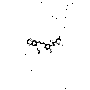 CCCOc1cc2c(cc1CCCc1ccc(OC)c(NC(=O)[C@@H](N)CC(C)C)c1)OCCS2